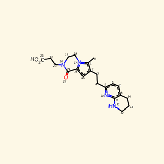 Cc1c(CCc2ccc3c(n2)NCCC3)cc2n1CCN(CCC(=O)O)C2=O